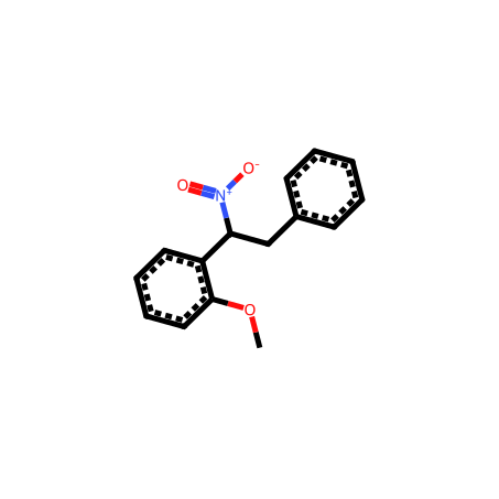 COc1ccccc1[C](Cc1ccccc1)[N+](=O)[O-]